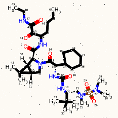 CCCCC(NC(=O)[C@@H]1[C@@H]2[C@H](CN1C(=O)[C@@H](NC(=O)N[C@H](CN(C)S(=O)(=O)N(C)C)C(C)(C)C)C1CCCCC1)C2(C)C)C(=O)C(=O)NCC